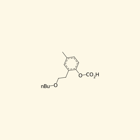 CCCCOCCc1cc(C)ccc1OC(=O)O